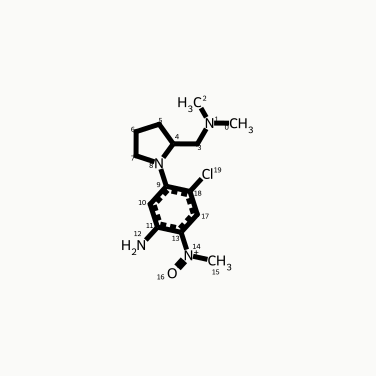 CN(C)CC1CCCN1c1cc(N)c([N+](C)=O)cc1Cl